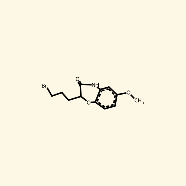 COc1ccc2c(c1)NC(=O)C(CCCBr)O2